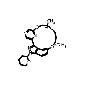 C[C@@H]1COc2cncc(n2)-c2nn(C3CCCCO3)c3ccc(cc23)O[C@@H](C)CCO1